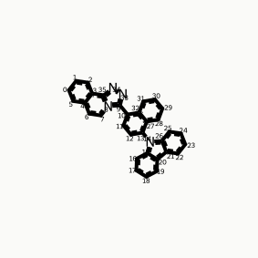 c1ccc2c(c1)ccn1c(-c3ccc(-n4c5ccccc5c5ccccc54)c4ccccc34)nnc21